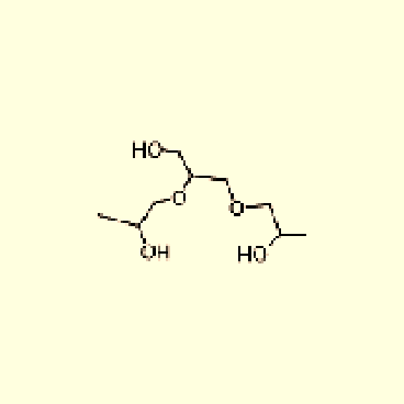 CC(O)COCC(CO)OCC(C)O